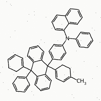 CC1=CC=C(C2(c3ccc(N(c4ccccc4)c4cccc5ccccc45)cc3)c3ccccc3C(C3=CC=CCC3)(c3ccccc3)c3ccccc32)CC1